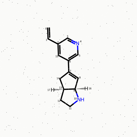 C=Cc1cncc(C2=C[C@H]3NCC[C@H]3C2)c1